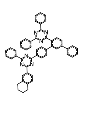 c1ccc(-c2ccc(-c3nc(-c4ccccc4)nc(-c4ccccc4)n3)c(-c3ccc(-c4nc(-c5ccccc5)nc(-c5ccc6c(c5)CCCC6)n4)cc3)c2)cc1